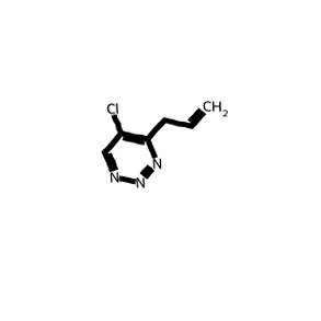 C=CCc1nnncc1Cl